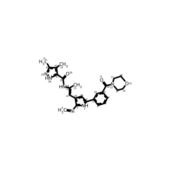 C=Nc1[nH]c(-c2cccc(C(=O)N3CCOCC3)c2)cc1/C=C(\C)NC(=O)c1[nH]nc(C)c1C